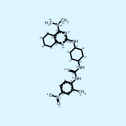 Cc1cc([N+](=O)[O-])ccc1NC(=S)NC1CCC(Nc2nc3c(c(N(C)C)n2)CCCC3)CC1